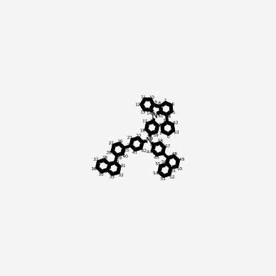 c1ccc(-c2cccc3c4ccccc4n(-c4ccc(N(c5ccc(-c6cccc(-c7cccc8ccccc78)c6)cc5)c5ccc(-c6cccc7ccccc67)cc5)cc4)c23)cc1